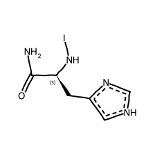 NC(=O)[C@H](Cc1c[nH]cn1)NI